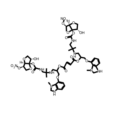 CN1CNc2cccc(OCC(CNC(C)(C)CNC(=O)O[C@@]34OC[C@@H](O[N+](=O)[O-])[C@H]3OC[C@@H]4O)OC(=O)/C=C/C(=O)OC(CNC(C)(C)CNC(=O)O[C@@]34OC[C@@H](O[N+](=O)[O-])[C@H]3OC[C@@H]4O)COc3cccc4c3N(C)CN4)c21